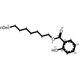 CCCCCCCCCCCCCCCCCOC(=O)c1ccccc1O